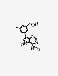 Cc1cc(CO)cc(-c2c[nH]c3c(N)ncnc23)c1